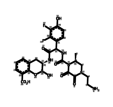 C[C@H]1CN(CCN)C(=O)C(=O)N1C(=O)NC(C(=O)N[C@H]1Cc2cccc(C(=O)O)c2OB1O)c1ccc(O)c(F)c1F